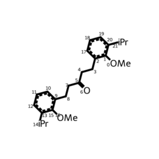 COc1c(CCC(=O)CCc2cccc(C(C)C)c2OC)cccc1C(C)C